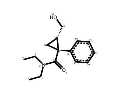 CCN(CC)C(=O)[C@]1(c2ccccc2)C[C@@H]1CO